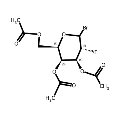 CC(=O)OC[C@H]1OC(Br)[C@H](F)[C@@H](OC(C)=O)[C@H]1OC(C)=O